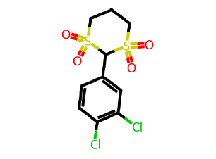 O=S1(=O)CCCS(=O)(=O)C1c1ccc(Cl)c(Cl)c1